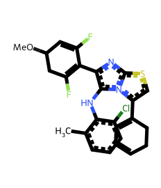 COC1C=C(F)C(c2nc3scc(C4=CC=CCC4)n3c2Nc2c(C)cccc2Cl)=C(F)C1